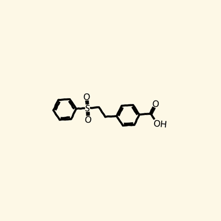 O=C(O)c1ccc(CCS(=O)(=O)c2ccccc2)cc1